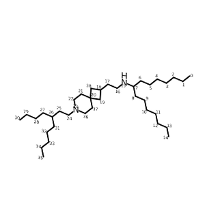 CCCCCCCC(CCCCCCC)NCCC1CC2(CCN(CCC(CCCC)CCCCC)CC2)C1